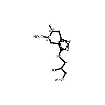 COCC(O)CNc1onc2c1CN(C(=O)O)[C@@H](C)C2